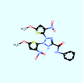 COc1cc([N+](=O)[O-])c(N2N=C(C(=O)Nc3ccccc3)NN2c2sc(OC)cc2[N+](=O)[O-])s1